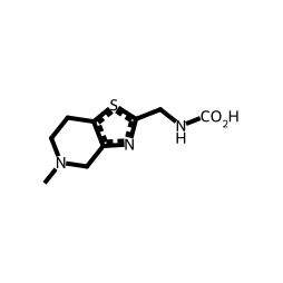 CN1CCc2sc(CNC(=O)O)nc2C1